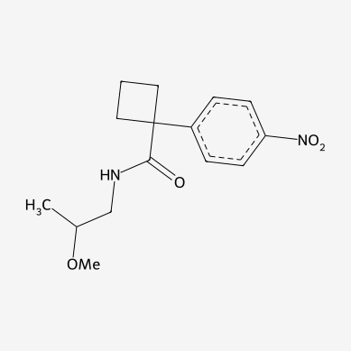 COC(C)CNC(=O)C1(c2ccc([N+](=O)[O-])cc2)CCC1